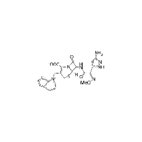 CO/N=C(\C(=O)NC1C(=O)N2C(C(=O)[O-])=C(C[n+]3cccc4ccoc43)CS[C@H]12)c1cc(N)n[nH]1